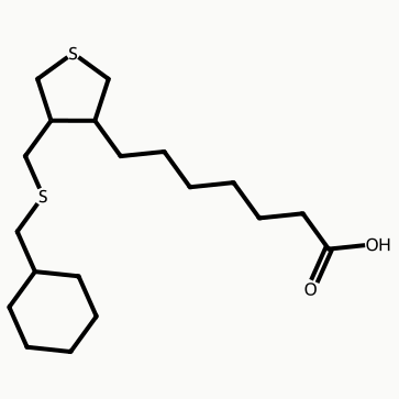 O=C(O)CCCCCCC1CSCC1CSCC1CCCCC1